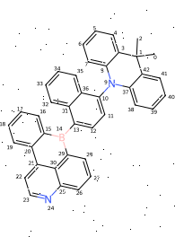 CC1(C)c2ccccc2N(c2ccc(B3c4ccccc4-c4ccnc5cccc3c45)c3ccccc23)c2ccccc21